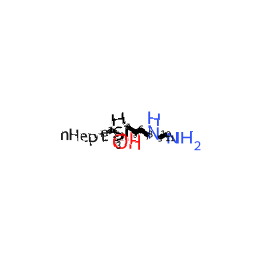 CCCCCCCC[SiH](O)CCCCNCCN